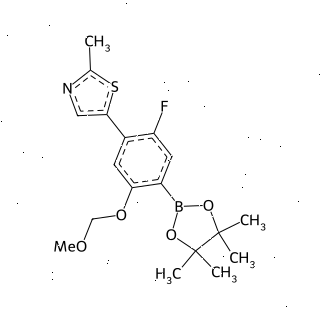 COCOc1cc(-c2cnc(C)s2)c(F)cc1B1OC(C)(C)C(C)(C)O1